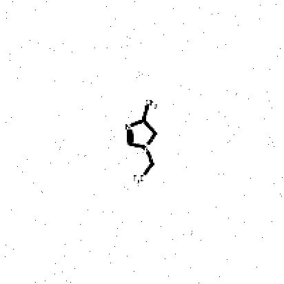 FC(F)(F)CN1[C]C(C(F)(F)F)N=[C]1